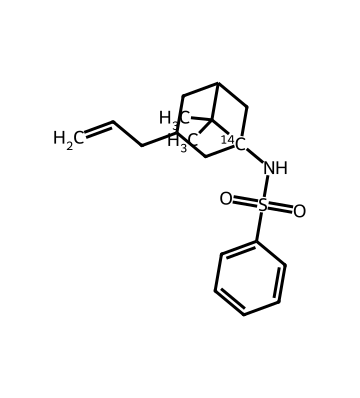 C=CCC1CC2C[14C](NS(=O)(=O)c3ccccc3)(C1)C2(C)C